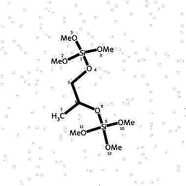 CO[Si](OC)(OC)OCC(C)O[Si](OC)(OC)OC